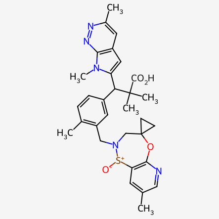 Cc1cnc2c(c1)[S+]([O-])N(Cc1cc(C(c3cc4cc(C)nnc4n3C)C(C)(C)C(=O)O)ccc1C)CC1(CC1)O2